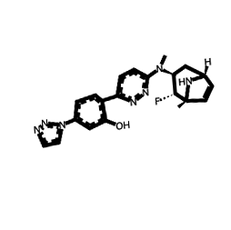 CN(c1ccc(-c2ccc(-n3ccnn3)cc2O)nn1)[C@H]1C[C@@H]2C=C[C@@](C)(N2)[C@@H]1F